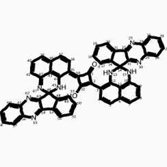 O=C1C(c2ccc3cccc4c3c2NC2(N4)c3ccccc3-c3nc4ccccc4nc32)=C(O)/C1=c1/ccc2cccc3c2c1NC1(N=3)c2ccccc2-c2nc3ccccc3nc21